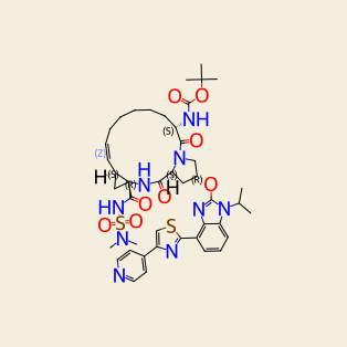 CC(C)n1c(O[C@@H]2C[C@H]3C(=O)N[C@]4(C(=O)NS(=O)(=O)N(C)C)C[C@H]4/C=C\CCCCC[C@H](NC(=O)OC(C)(C)C)C(=O)N3C2)nc2c(-c3nc(-c4ccncc4)cs3)cccc21